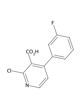 O=C(O)c1c(-c2cccc(F)c2)ccnc1Cl